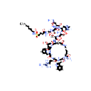 CCCCCCCCCCCCCCCC(=O)NS(=O)(=O)CCCC(=O)NCC(=O)N[C@@H](CO)C(=O)N[C@H](CC(N)=O)C(=O)N[C@@H](Cc1c[nH]cn1)C(=O)N[C@@H](CO)C(=O)N[C@@H](CCCC)C(=O)N[C@H]1CCC(=O)NCCCC[C@@H](C(N)=O)NC(=O)[C@H](Cc2c[nH]c3ccccc23)NC(=O)[C@H](CCCNC(=N)N)NC(=O)[C@@H](Cc2ccccc2)NC(=O)[C@@H]2C[C@@H](O)CN2C1=O